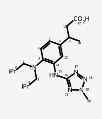 CC(C)CN(CC(C)C)c1ccc(C(C)CC(=O)O)cc1Nc1nnn(C)n1